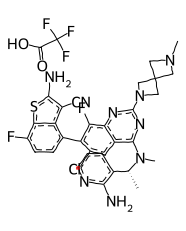 C[C@H](c1cccnc1N)N(C)c1nc(N2CC3(CN(C)C3)C2)nc2c(F)c(-c3ccc(F)c4sc(N)c(C#N)c34)c(Cl)cc12.O=C(O)C(F)(F)F